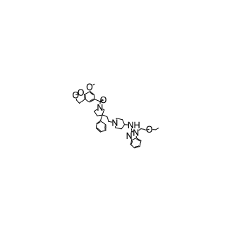 CCOCCn1c(NC2CCN(CCC3(c4ccccc4)CCN(C(=O)c4cc5c(c(OC)c4)OOCC5)C3)CC2)nc2ccccc21